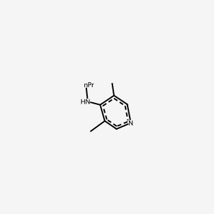 CCCNc1c(C)cncc1C